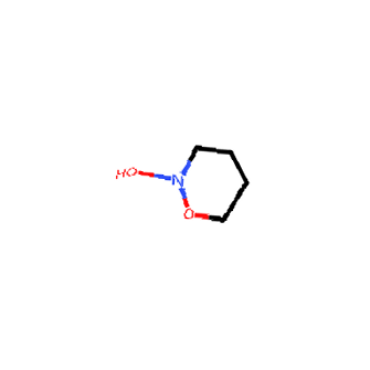 ON1CCCCO1